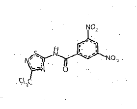 O=C(Nc1nc(C(Cl)(Cl)Cl)ns1)c1cc([N+](=O)[O-])cc([N+](=O)[O-])c1